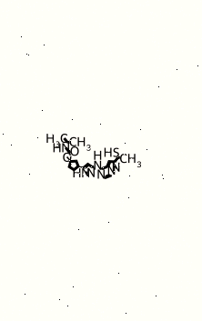 CC(C)NC(=O)O[C@@H]1CC[C@H](c2cc(Nc3nccn4nc(C(C)S)cc34)n[nH]2)C1